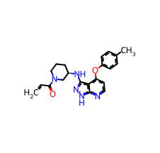 C=CC(=O)N1CCC[C@@H](Nc2n[nH]c3nccc(Oc4ccc(C)cc4)c23)C1